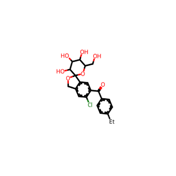 CCc1ccc(C(=O)c2cc3c(cc2Cl)COC32OC(CO)C(O)C(O)C2O)cc1